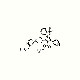 CCOC(=O)c1c(-c2ccncc2)cn(-c2ccccc2C(F)(F)F)c1C1CCN(c2ccnc(CC)c2)CC1